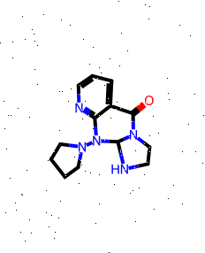 O=C1c2cccnc2N(N2CCCC2)C2NCCN12